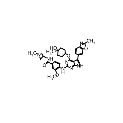 COc1cc(C(=O)NC2CN(C)C2)ccc1Nc1nc(OC2CCC(C)(O)CC2)c2c(-c3ccc4nc(C)oc4c3)c[nH]c2n1